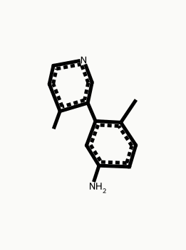 Cc1ccncc1-c1cc(N)ccc1C